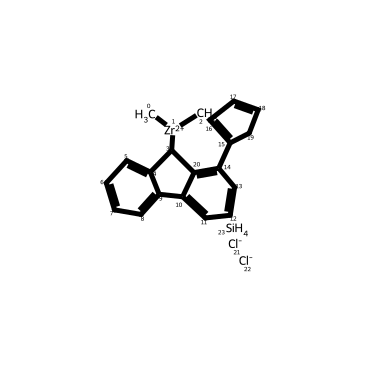 [CH3][Zr+2]([CH3])[CH]1c2ccccc2-c2cccc(C3=CC=CC3)c21.[Cl-].[Cl-].[SiH4]